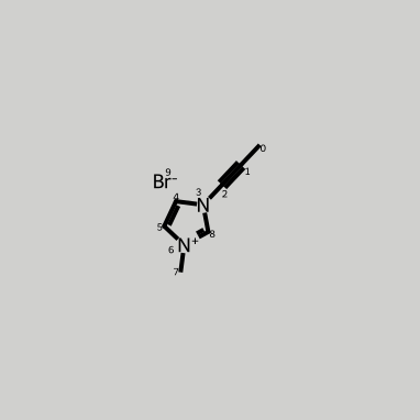 CC#Cn1cc[n+](C)c1.[Br-]